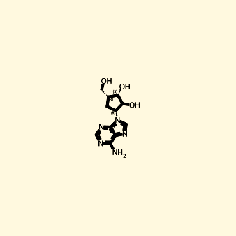 Nc1ncnc2c1ncn2[C@@H]1C[C@H](CO)[C@H](O)C1O